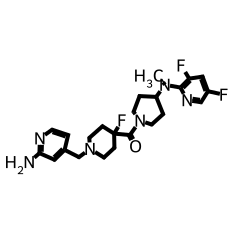 CN(c1ncc(F)cc1F)C1CCN(C(=O)C2(F)CCN(Cc3ccnc(N)c3)CC2)CC1